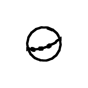 C1=C\CN2CCCCCCCCN(CCCCC/1)OOOOOOCC2